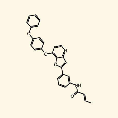 C/C=C/C(=O)Nc1cccc(-c2cc3nccc(Oc4ccc(Oc5ccccc5)cc4)c3o2)c1